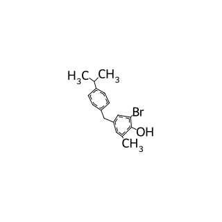 Cc1cc(Cc2ccc(C(C)C)cc2)cc(Br)c1O